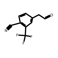 N#Cc1ccc(CC=O)cc1C(F)(F)F